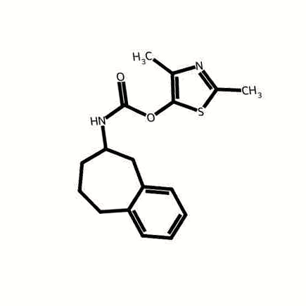 Cc1nc(C)c(OC(=O)NC2CCCc3ccccc3C2)s1